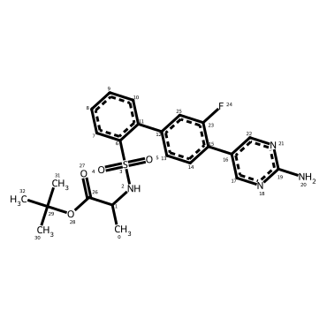 CC(NS(=O)(=O)c1ccccc1-c1ccc(-c2cnc(N)nc2)c(F)c1)C(=O)OC(C)(C)C